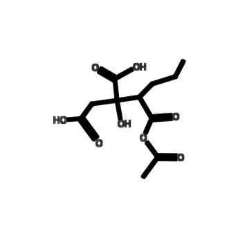 CCCC(C(=O)OC(C)=O)C(O)(CC(=O)O)C(=O)O